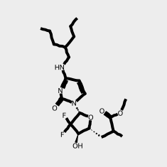 CCCC(CCC)CNc1ccn([C@@H]2O[C@H](CC(C)C(=O)OC)[C@@H](O)C2(F)F)c(=O)n1